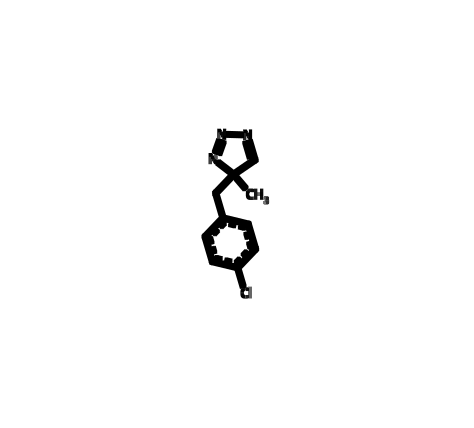 CC1(Cc2ccc(Cl)cc2)C=NN=N1